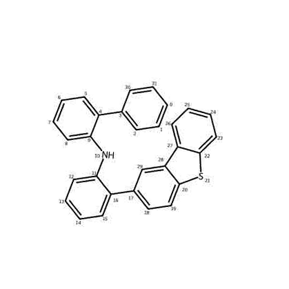 c1ccc(-c2ccccc2Nc2ccccc2-c2ccc3sc4ccccc4c3c2)cc1